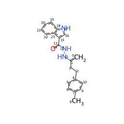 C=C(CCc1ccc(C)cc1)NNC(=O)c1c[nH]c2ccccc12